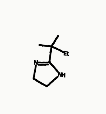 CCC(C)(C)C1=NCCN1